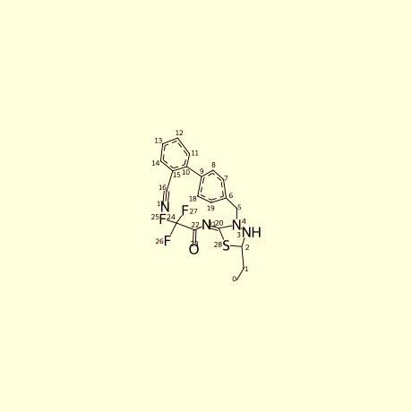 CCC1NN(Cc2ccc(-c3ccccc3C#N)cc2)C(=NC(=O)C(F)(F)F)S1